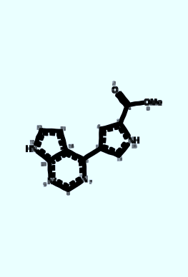 COC(=O)c1cc(-c2ncnc3[nH]ccc23)c[nH]1